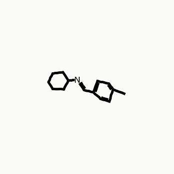 Cc1ccc(C=NC2CCCCC2)cc1